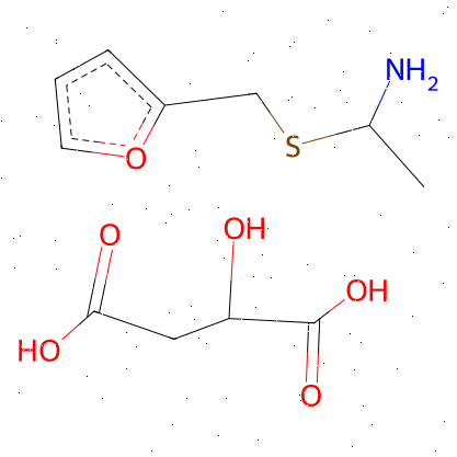 CC(N)SCc1ccco1.O=C(O)CC(O)C(=O)O